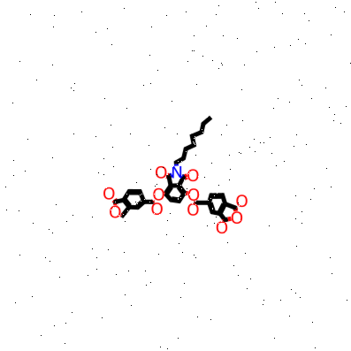 CCCCCCCCN1C(=O)c2c(OC(=O)c3ccc4c(c3)COC4=O)ccc(OC(=O)c3ccc4c(c3)C(=O)OC4=O)c2C1=O